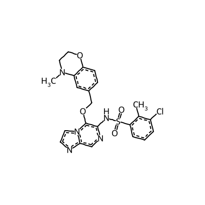 Cc1c(Cl)cccc1S(=O)(=O)Nc1ncc2nccn2c1OCc1ccc2c(c1)N(C)CCO2